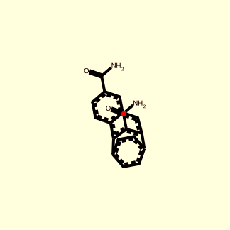 NC(=O)c1ccc2c3c(C(N)=O)c(cc2c1)-c1ccc-3cc1